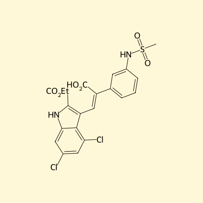 CCOC(=O)c1[nH]c2cc(Cl)cc(Cl)c2c1C=C(C(=O)O)c1cccc(NS(C)(=O)=O)c1